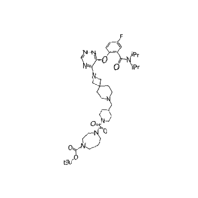 CC(C)N(C(=O)c1cc(F)ccc1Oc1nncnc1N1CC2(CCN(CC3CCN(S(=O)(=O)N4CCCN(C(=O)OC(C)(C)C)CC4)CC3)CC2)C1)C(C)C